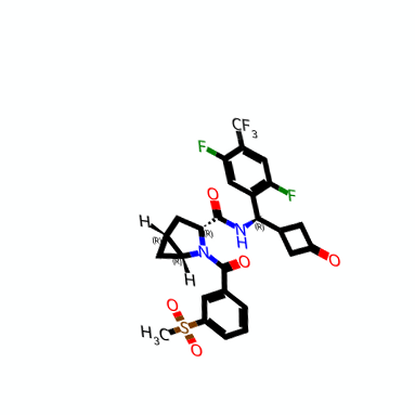 CS(=O)(=O)c1cccc(C(=O)N2[C@@H](C(=O)N[C@@H](c3cc(F)c(C(F)(F)F)cc3F)C3CC(=O)C3)C[C@H]3C[C@H]32)c1